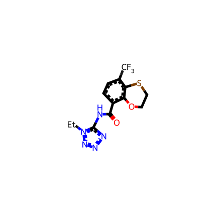 CCn1nnnc1NC(=O)c1ccc(C(F)(F)F)c2c1OCCS2